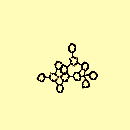 c1ccc(-c2nc(-c3ccccc3)nc(-c3ccccc3-c3cccc(-c4ccc5c(c4)-c4c(-c6nc(-c7ccccc7)nc(-c7ccccc7)n6)cccc4C5(c4ccccc4)c4ccccc4)c3)n2)cc1